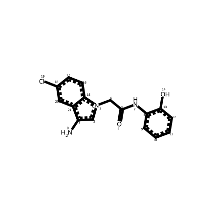 Nc1cn(CC(=O)Nc2ccccc2O)c2ccc(Cl)cc12